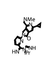 CNCc1nc(C2CC2)cc2c1CN(c1cccc(C(=N)N(C=N)C(C)C)n1)C2=O